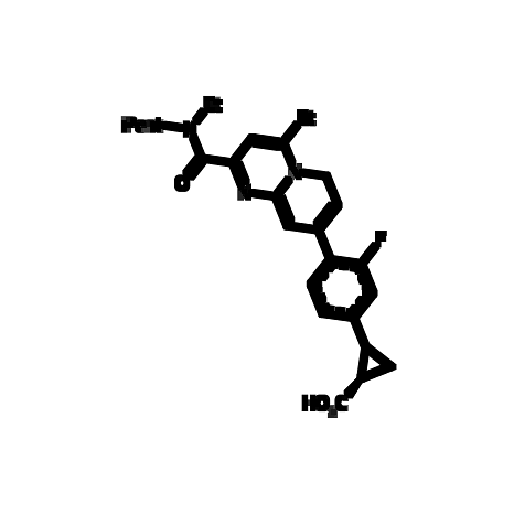 CCCC(C)N(CC)C(=O)C1=NC2=CC(c3ccc(C4C[C@H]4C(=O)O)cc3F)=CCN2C(CC)=C1